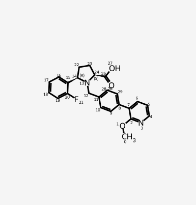 COc1ncccc1-c1ccc(CN2[C@@H](c3ccccc3F)CC[C@H]2C(=O)O)cc1